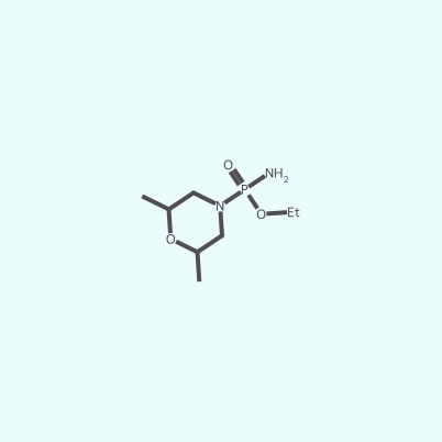 CCOP(N)(=O)N1CC(C)OC(C)C1